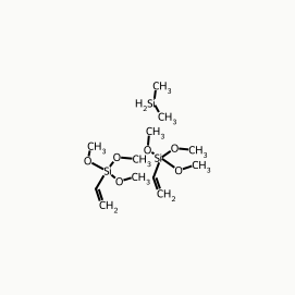 C=C[Si](OC)(OC)OC.C=C[Si](OC)(OC)OC.C[SiH2]C